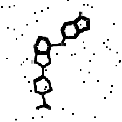 CC(=O)N1CC=C(C2Cc3c(Nc4ccc5[nH]ncc5c4)ccnc3N2)CC1